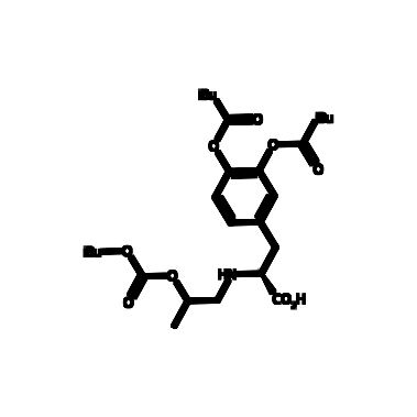 CCC(C)OC(=O)OC(C)CN[C@@H](Cc1ccc(OC(=O)C(C)CC)c(OC(=O)C(C)CC)c1)C(=O)O